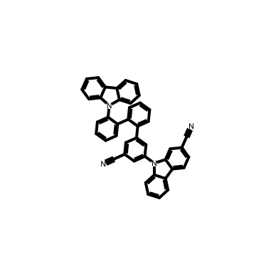 N#Cc1cc(-c2ccccc2-c2ccccc2-n2c3ccccc3c3ccccc32)cc(-n2c3ccccc3c3ccc(C#N)cc32)c1